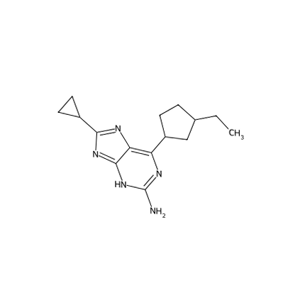 CCC1CCC(c2nc(N)[nH]c3nc(C4CC4)nc2-3)C1